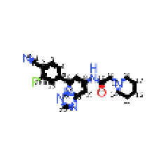 N#Cc1ccc(-c2cc(NC(=O)CN3CCCCC3)cc3ncnn23)cc1F